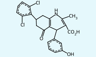 CC1=C(C(=O)O)C(c2cccc(O)c2)C2=C(CC(c3c(Cl)cccc3Cl)CC2=O)N1